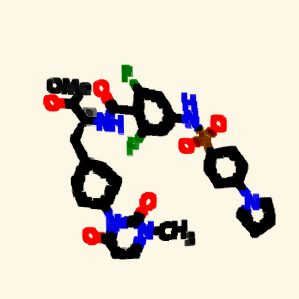 COC(=O)[C@H](Cc1ccc(-n2c(=O)ccn(C)c2=O)cc1)NC(=O)c1c(F)cc(NS(=O)(=O)c2ccc(-n3cccc3)cc2)cc1F